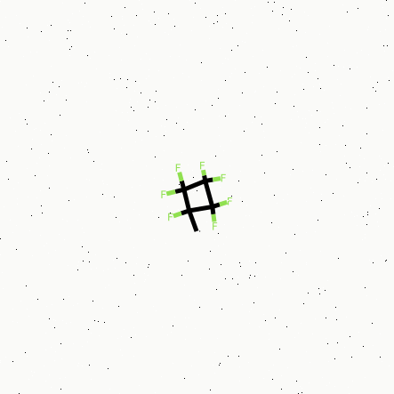 [CH2]C1(F)C(F)(F)C(F)(F)C1(F)F